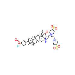 CC(C)C1=C2[C@H]3CC[C@@H]4[C@@]5(C)CC=C(C6=CC[C@](CF)(OC=O)CC6)C(C)(C)[C@@H]5CC[C@@]4(C)[C@]3(C)CC[C@@]2(NCC[N+]2(CCN3CCC(S(C)(=O)=O)CC3)CCC(S(C)(=O)=O)CC2)CC1=O